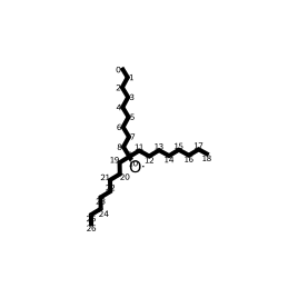 CCCCCCCCCC([O])(CCCCCCCC)CCCCCCCC